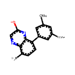 Bc1ccc(-c2cc(OC)cc(OC)c2)c2nc(O)cnc12